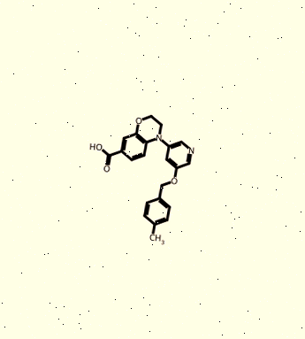 Cc1ccc(COc2cncc(N3CCOc4cc(C(=O)O)ccc43)c2)cc1